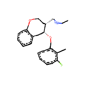 CNC[C@H]1COc2ccccc2[C@H]1Oc1cccc(F)c1C